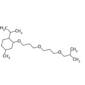 CC(C)COCCCOCCCOC1CC(C)CCC1C(C)C